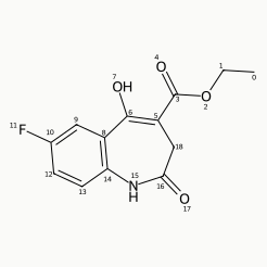 CCOC(=O)C1=C(O)c2cc(F)ccc2NC(=O)C1